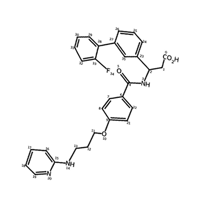 O=C(O)CC(NC(=O)c1ccc(OCCCNc2ccccn2)cc1)c1cccc(-c2ccccc2F)c1